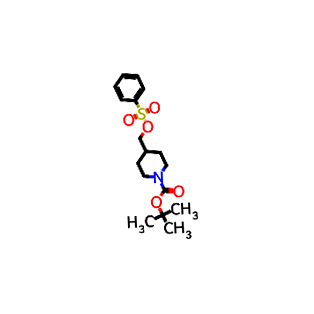 CC(C)(C)OC(=O)N1CCC(COS(=O)(=O)c2ccccc2)CC1